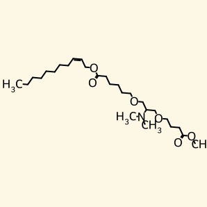 CCCCCCCC/C=C\COC(=O)CCCCCOCC(COCCCC(=O)OC)N(C)C